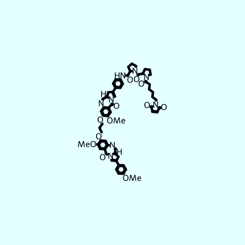 COc1ccc(C2=CN3C(=O)c4cc(OC)c(OCCCOc5cc6c(cc5OC)C(=O)N5C=C(c7ccc(NC(=O)C8CCCN8C(=O)C8CCCN8C(=O)CCCCCN8C(=O)C=CC8=O)cc7)C[C@H]5C=N6)cc4N=C[C@@H]3C2)cc1